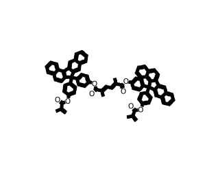 C=C(C)C(=O)Oc1ccc(C2(c3ccc(OC(=O)/C(C)=C/C=C(\C)C(=O)Oc4ccc(C5(c6ccc(OC(=O)C(=C)C)cc6)c6cc7ccccc7cc6-c6ccc7ccccc7c65)cc4)cc3)c3cc4ccccc4cc3-c3c2ccc2ccccc32)cc1